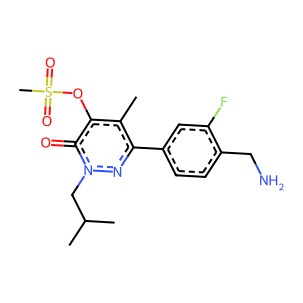 Cc1c(-c2ccc(CN)c(F)c2)nn(CC(C)C)c(=O)c1OS(C)(=O)=O